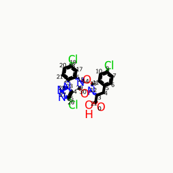 O=C(O)C(Cc1ccc(Cl)cc1)N1CON(c2cc(Cl)ccc2-n2cc(Cl)nn2)CO1